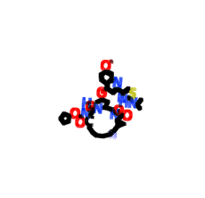 COc1ccc2c(OC3CC4C5=NC6(CC6/C=C\CCCCCC(NC(=O)OC6CCCC6)C(=O)N4C3)C(=O)O5)cc(-c3csc(NC(C)C)n3)nc2c1